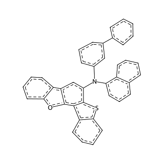 c1ccc(-c2cccc(N(c3cccc4ccccc34)c3cc4c5ccccc5oc4c4c3sc3ccccc34)c2)cc1